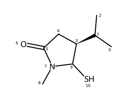 CC(C)[C@@H]1CC(=O)N(C)C1S